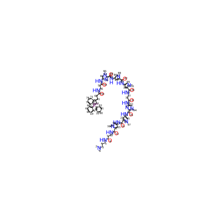 CN(C)CCCNC(=O)CCNC(=O)c1cc(NC(=O)c2cc(NC(=O)c3nc(NC(=O)CCNC(=O)c4cc(NC(=O)c5cc(NC(=O)c6nc(NC(=O)CCNC(=O)CCCC[P+](c7ccccc7)(c7ccccc7)c7ccccc7)cn6C)cn5C)cn4C)cn3C)cn2C)cn1C